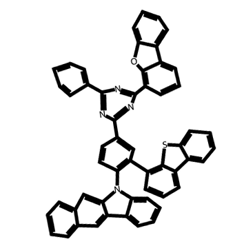 c1ccc(-c2nc(-c3ccc(-n4c5ccccc5c5cc6ccccc6cc54)c(-c4cccc5c4sc4ccccc45)c3)nc(-c3cccc4c3oc3ccccc34)n2)cc1